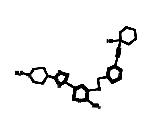 CN1CCC(c2ncc(-c3cnc([N+](=O)[O-])c(OCc4cccc(C#CC5(O)CCCCC5)c4)c3)s2)CC1